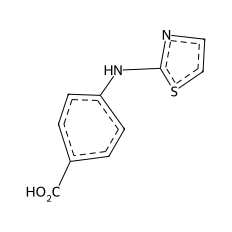 O=C(O)c1ccc(Nc2nccs2)cc1